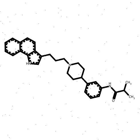 CC(C)C(=O)Nc1cccc(C2CCN(CCCc3c[nH]c4c3ccc3ccccc34)CC2)c1